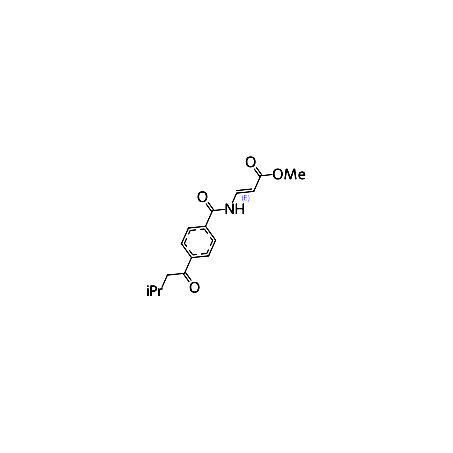 COC(=O)/C=C/NC(=O)c1ccc(C(=O)CC(C)C)cc1